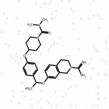 CN(C)C(=O)N1CCC(Oc2ccc(C(Oc3ccc4c(c3)CN(C(=N)N)CC4)C(=O)O)cc2)CC1